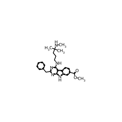 CNC(C)(C)CCCNc1nc(Cc2ccccc2)nc2[nH]c3cc(C(=O)OC)ccc3c12